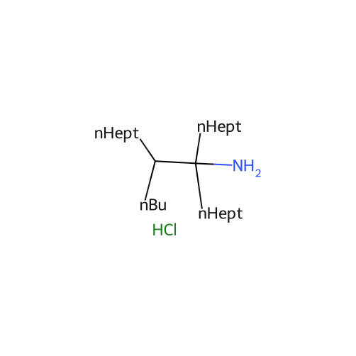 CCCCCCCC(CCCC)C(N)(CCCCCCC)CCCCCCC.Cl